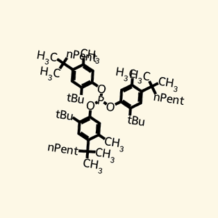 CCCCCC(C)(C)c1cc(C(C)(C)C)c(OP(Oc2cc(C)c(C(C)(C)CCCCC)cc2C(C)(C)C)Oc2cc(C)c(C(C)(C)CCCCC)cc2C(C)(C)C)cc1C